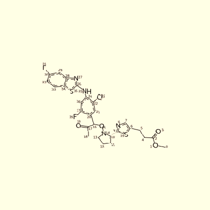 COC(=O)CCc1cnc([C@@H]2CCCN2OC(C(C)=O)c2cc(Cl)c(Nc3nc4cc(F)ccc4s3)cc2F)s1